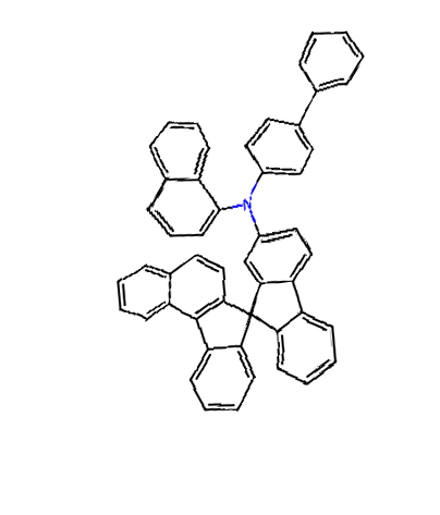 c1ccc(-c2ccc(N(c3ccc4c(c3)C3(c5ccccc5-4)c4ccccc4-c4c3ccc3ccccc43)c3cccc4ccccc34)cc2)cc1